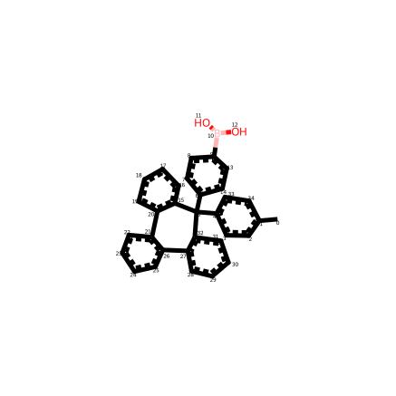 Cc1ccc(C2(c3ccc(B(O)O)cc3)c3ccccc3-c3ccccc3-c3ccccc32)cc1